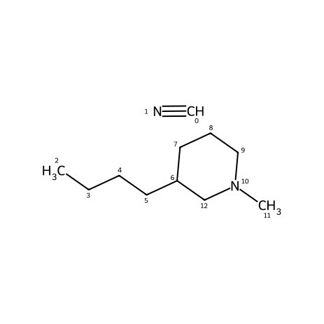 C#N.CCCCC1CCCN(C)C1